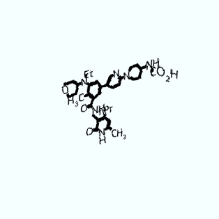 CCCc1cc(C)[nH]c(=O)c1CNC(=O)c1cc(-c2ccc(N3CCC(NC(=O)O)CC3)nc2)cc(N(CC)C2CCOCC2)c1C